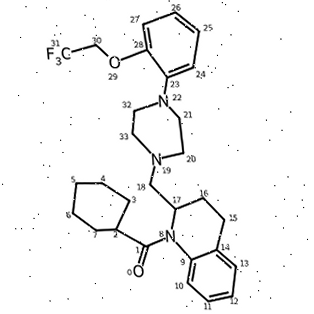 O=C(C1CCCCC1)N1c2ccccc2CCC1CN1CCN(c2ccccc2OCC(F)(F)F)CC1